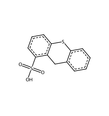 O=S(=O)(O)c1cccc2c1Cc1ccccc1S2